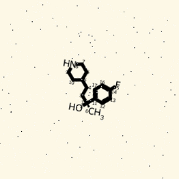 C[C@@](O)(CCC1CCNCC1)c1ccc(F)cc1